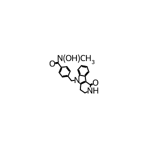 CN(O)C(=O)c1ccc(Cn2c3c(c4ccccc42)C(=O)NCC3)cc1